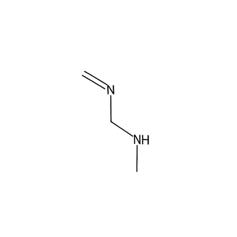 C=NCNC